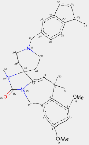 COc1cc2c(c(OC)c1)C(C)(C)C=C1N(C2)C(=O)N(C)C12CCN(Cc1ccc3c(c1)C=CC3C)CC2